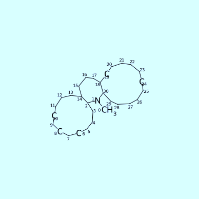 CN1C2CCCCCCCCCCCC2CCCC2CCCCCCCCCCCC21